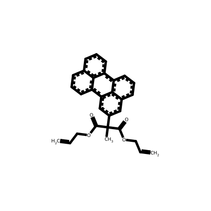 C=CCOC(=O)C(C)(C(=O)OCC=C)c1cc2cccc3c4cccc5cccc(c(c1)c23)c54